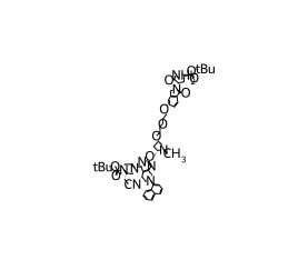 CN1C[C@H](OCCOCCOc2ccc3c(c2)CN(C(CCC(=O)OC(C)(C)C)C(N)=O)C3=O)C[C@H]1COc1nc2c(c(N3CCN(C(=O)OC(C)(C)C)[C@@H](CC#N)C3)n1)CCN(c1cccc3ccccc13)C2